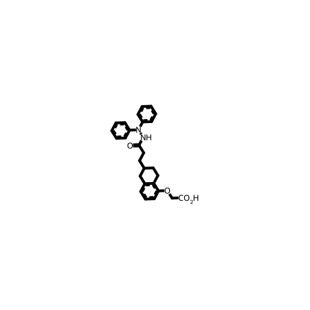 O=C(O)COc1cccc2c1CCC(CCC(=O)NN(c1ccccc1)c1ccccc1)C2